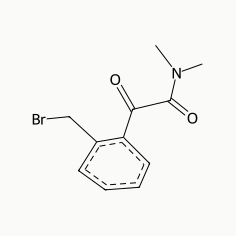 CN(C)C(=O)C(=O)c1ccccc1CBr